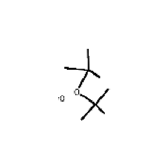 CC(C)(C)OC(C)(C)C.[O]